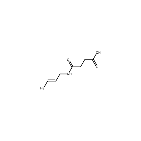 O=C(O)CCC(=O)NCC=CS